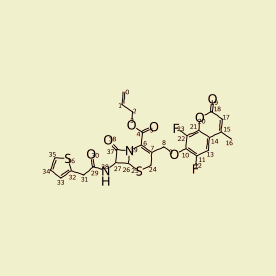 C=CCOC(=O)C1=C(COc2c(F)cc3c(C)cc(=O)oc3c2F)CSC2C(NC(=O)Cc3cccs3)C(=O)N12